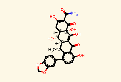 C[C@H]1c2c(-c3ccc4c(c3)OCO4)ccc(O)c2C(=O)C2=C(O)[C@]3(O)C(=O)C(C(N)=O)=C(O)C[C@@H]3[C@@H](O)[C@@H]21